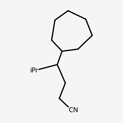 CC(C)C(CCC#N)C1CCCCCC1